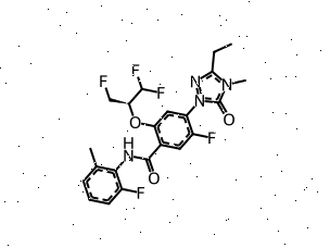 CCc1nn(-c2cc(O[C@@H](CF)C(F)F)c(C(=O)Nc3c(C)cccc3F)cc2F)c(=O)n1C